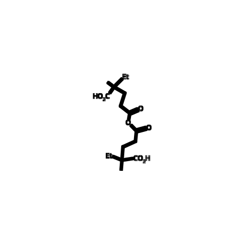 CCC(C)(CCC(=O)OC(=O)CCC(C)(CC)C(=O)O)C(=O)O